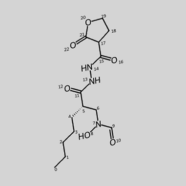 CCCCC[C@@H](CN(O)C=O)C(=O)NNC(=O)C1CCOC1=O